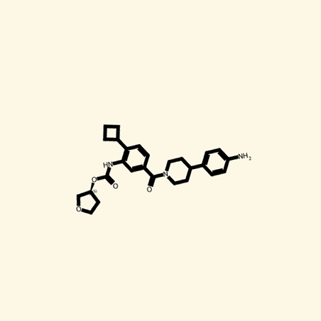 Nc1ccc(C2CCN(C(=O)c3ccc(C4CCC4)c(NC(=O)O[C@H]4CCOC4)c3)CC2)cc1